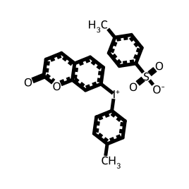 Cc1ccc(S(=O)(=O)[O-])cc1.Cc1ccc([I+]c2ccc3ccc(=O)oc3c2)cc1